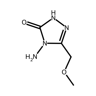 COCc1n[nH]c(=O)n1N